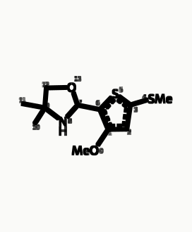 COc1cc(SC)sc1C1NC(C)(C)CO1